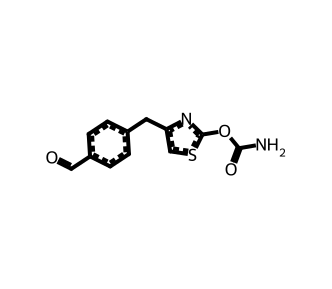 NC(=O)Oc1nc(Cc2ccc(C=O)cc2)cs1